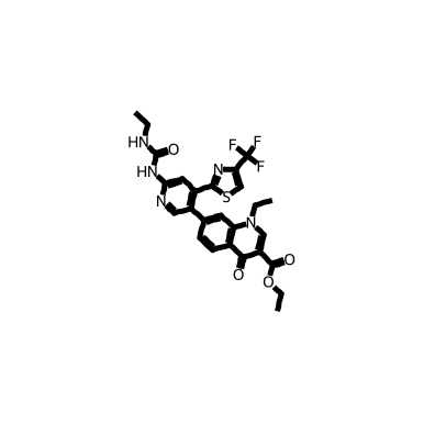 CCNC(=O)Nc1cc(-c2nc(C(F)(F)F)cs2)c(-c2ccc3c(=O)c(C(=O)OCC)cn(CC)c3c2)cn1